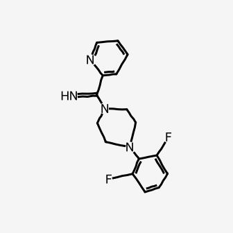 N=C(c1ccccn1)N1CCN(c2c(F)cccc2F)CC1